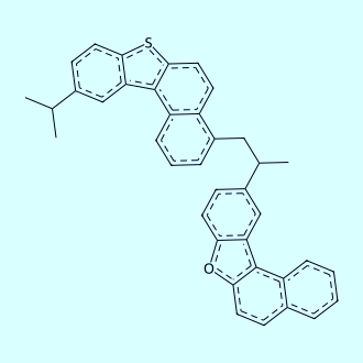 CC(C)c1ccc2sc3ccc4c(CC(C)c5ccc6oc7ccc8ccccc8c7c6c5)cccc4c3c2c1